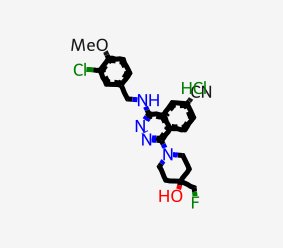 COc1ccc(CNc2nnc(N3CCC(O)(CF)CC3)c3ccc(C#N)cc23)cc1Cl.Cl